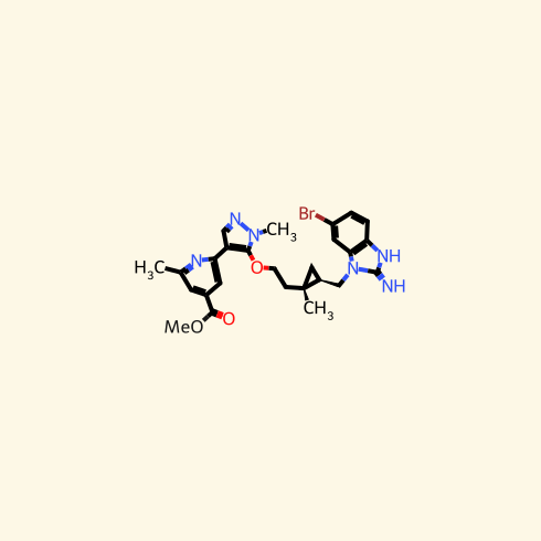 COC(=O)c1cc(C)nc(-c2cnn(C)c2OCC[C@]2(C)C[C@H]2Cn2c(=N)[nH]c3ccc(Br)cc32)c1